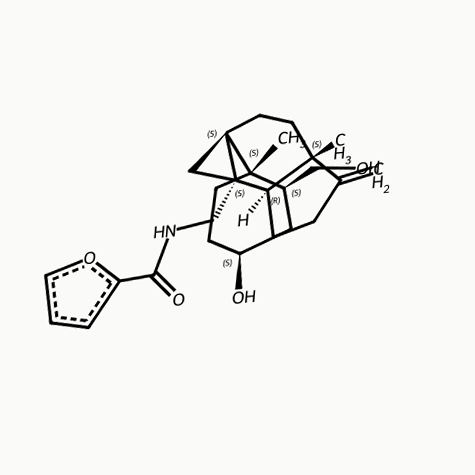 C=C1CC[C@H]2[C@@]3(CNC(=O)c4ccco4)C[C@]3([C@@]3(C)CC[C@H](O)C[C@@H]3CO)CC[C@]12C